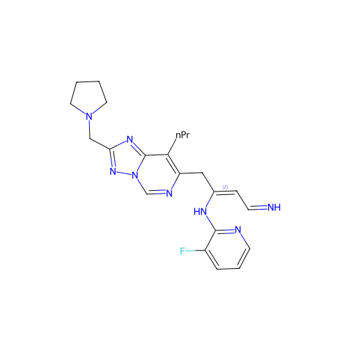 CCCc1c(C/C(=C/C=N)Nc2ncccc2F)ncn2nc(CN3CCCC3)nc12